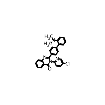 CN(C)c1ccccc1-c1ccc(-c2nc3ccccc3c(=O)n2-c2ccc(Cl)cn2)cc1